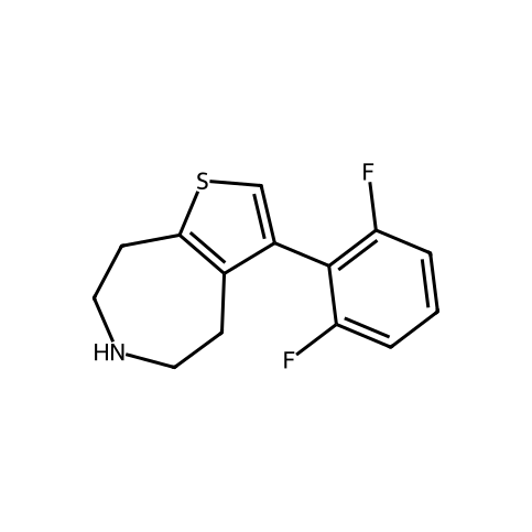 Fc1cccc(F)c1-c1csc2c1CCNCC2